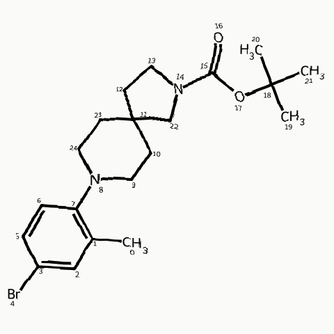 Cc1cc(Br)ccc1N1CCC2(CCN(C(=O)OC(C)(C)C)C2)CC1